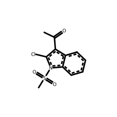 CC(=O)c1c(Cl)n(S(C)(=O)=O)c2ccccc12